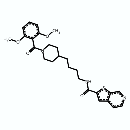 COc1cccc(OC)c1C(=O)N1CCC(CCCCNC(=O)c2cc3ccncc3s2)CC1